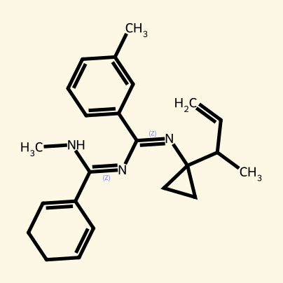 C=CC(C)C1(/N=C(\N=C(/NC)C2=CCCC=C2)c2cccc(C)c2)CC1